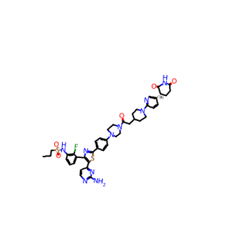 CCCS(=O)(=O)Nc1cccc(-c2nc(-c3ccc(N4CCN(C(=O)CC5CCN(c6ccc([C@H]7CCC(=O)NC7=O)cn6)CC5)CC4)cc3)sc2-c2ccnc(N)n2)c1F